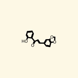 O=C(C=Cc1ccc2c(c1)OCO2)c1ccccc1O